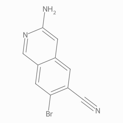 N#Cc1cc2cc(N)ncc2cc1Br